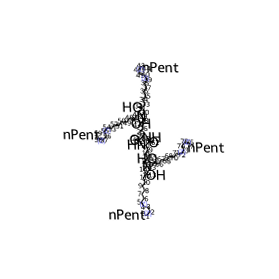 CCCCC/C=C\C/C=C\CCCCCCC(O)CN(CCCCC1NC(=O)C(CCCCN(CC(O)CCCCCC/C=C\C/C=C\CCCCC)CC(O)CCCCCC/C=C\C/C=C\CCCCC)NC1=O)CC(O)CCCCCC/C=C\C/C=C\CCCCC